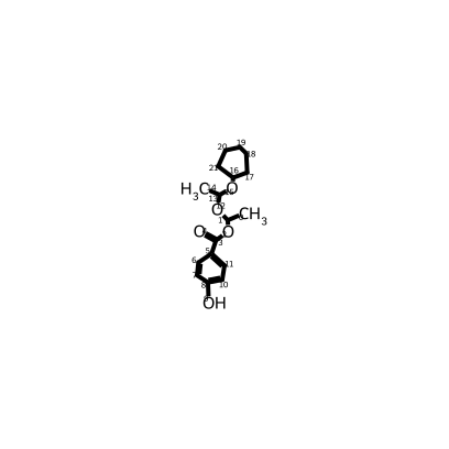 CC(OC(=O)c1ccc(O)cc1)OC(C)OC1CCCCC1